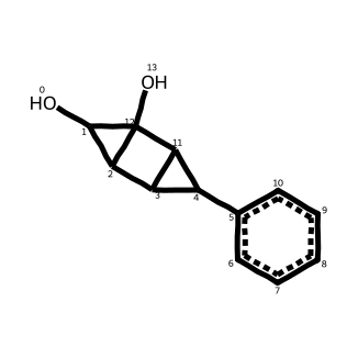 OC1C2C3C(c4ccccc4)C3C12O